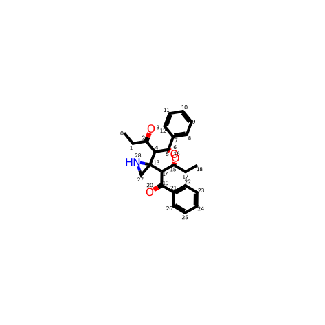 CCC(=O)C(C(=O)c1ccccc1)C1(C(C(=O)CC)C(=O)c2ccccc2)CN1